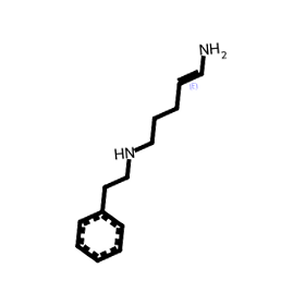 N/C=C/CCCNCCc1ccccc1